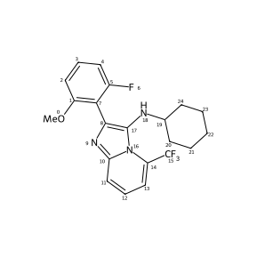 COc1cccc(F)c1-c1nc2cccc(C(F)(F)F)n2c1NC1CCCCC1